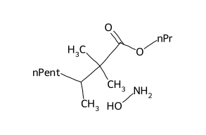 CCCCCC(C)C(C)(C)C(=O)OCCC.NO